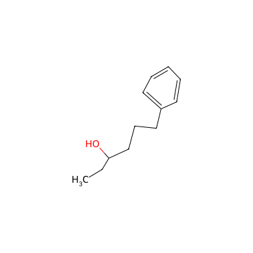 CCC(O)CCCc1ccccc1